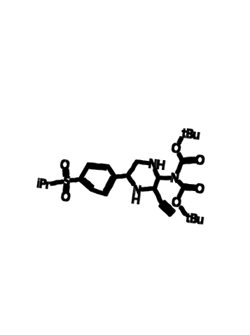 C#CC1NC(c2ccc(S(=O)(=O)C(C)C)cc2)CNC1N(C(=O)OC(C)(C)C)C(=O)OC(C)(C)C